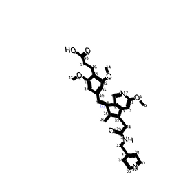 COc1cc2c(cn1)/C(=C\c1cc(OC)c(CCC(=O)O)c(OC)c1)C(C)=C2CC(=O)NCc1ccncc1